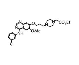 CCOC(=O)CN1CCN(CCCOc2cc3ncnc(Nc4cccc(Cl)c4)c3cc2OC)CC1